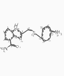 NC(=O)c1cccc2[nH]c(CSc3ccc(N)cc3)nc12